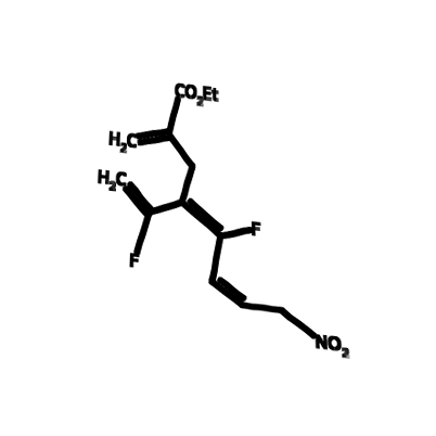 C=C(C/C(C(=C)F)=C(F)/C=C\C[N+](=O)[O-])C(=O)OCC